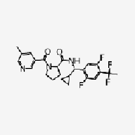 Cc1cncc(C(=O)N2CCC[C@@H]2C(=O)N[C@@H](c2cc(F)c(C(C)(F)F)cc2F)C2CC2)c1